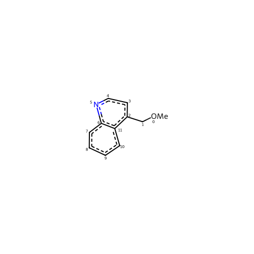 [CH2]OCc1ccnc2ccccc12